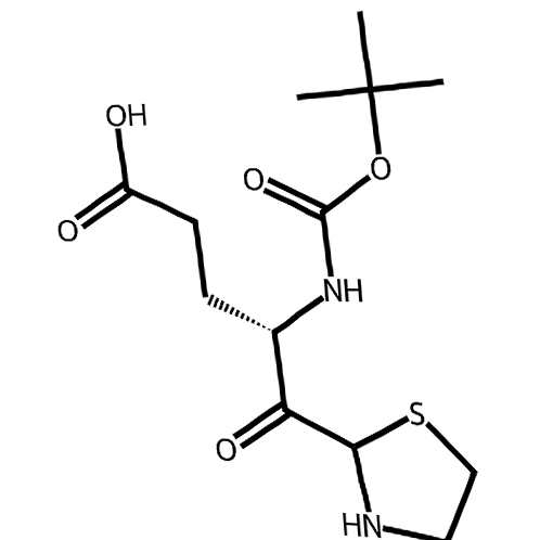 CC(C)(C)OC(=O)N[C@@H](CCC(=O)O)C(=O)C1NCCS1